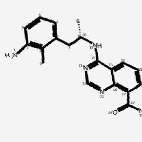 Cc1c(N)cccc1C[C@H](C)Nc1ncnc2c(C(N)=O)cccc12